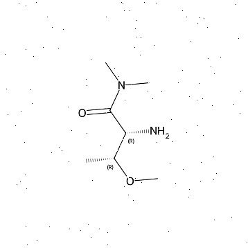 CO[C@H](C)[C@@H](N)C(=O)N(C)C